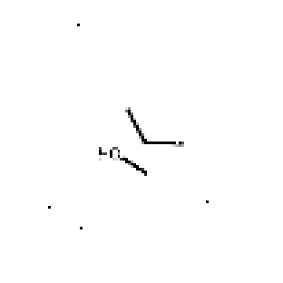 CCC.CO